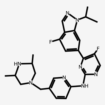 CC1CN(Cc2ccc(Nc3ncc(F)c(-c4cc(F)c5cnn(C(C)C)c5c4)n3)nc2)CC(C)N1